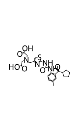 Cc1ccc(NC(=O)Nc2nc(CN(CC(=O)O)CC(=O)O)cs2)c(C(=O)C2CCCC2)c1